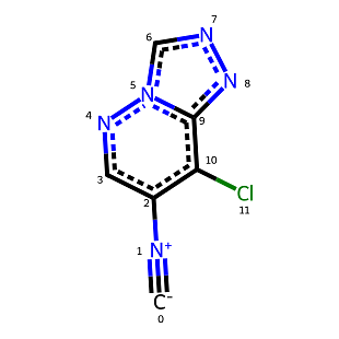 [C-]#[N+]c1cnn2cnnc2c1Cl